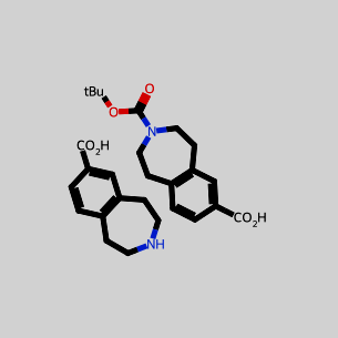 CC(C)(C)OC(=O)N1CCc2ccc(C(=O)O)cc2CC1.O=C(O)c1ccc2c(c1)CCNCC2